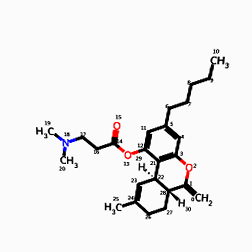 C=C1Oc2cc(CCCCC)cc(OC(=O)CCN(C)C)c2[C@@H]2C=C(C)CC[C@@H]12